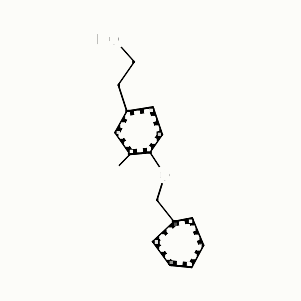 OCCc1ccc(OCc2ccccc2)c(F)c1